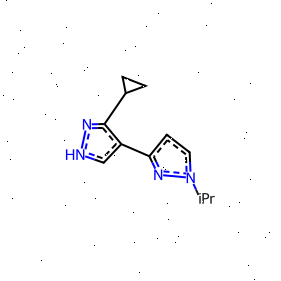 CC(C)n1ccc(-c2c[nH]nc2C2CC2)n1